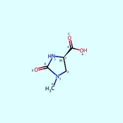 CN1C[C@H](C(=O)O)NC1=O